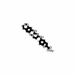 COC(=O)c1cc2cc(NC3=NC(Nc4ccc5c(c4)OOCC5)N(F)C=C3)ccc2o1